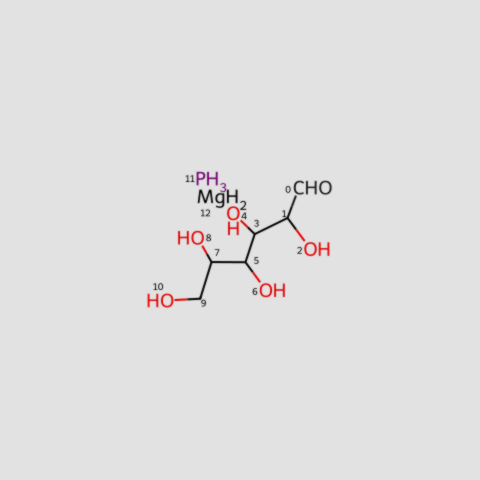 O=CC(O)C(O)C(O)C(O)CO.P.[MgH2]